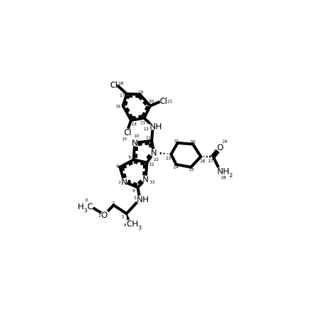 COC[C@H](C)Nc1ncc2nc(Nc3c(Cl)cc(Cl)cc3Cl)n([C@H]3CC[C@@H](C(N)=O)CC3)c2n1